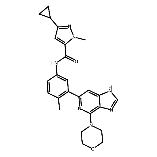 Cc1ccc(NC(=O)c2cc(C3CC3)nn2C)cc1-c1cc2[nH]cnc2c(N2CCOCC2)n1